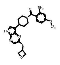 Nc1cc(OC(F)(F)F)ccc1C(=O)N1CCC(c2c[nH]c3ncc(OC4COC4)nc23)CC1